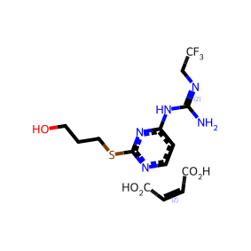 N/C(=N/CC(F)(F)F)Nc1ccnc(SCCCO)n1.O=C(O)/C=C\C(=O)O